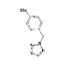 CC(C)(C)c1ccc(Cn2ncnn2)cc1